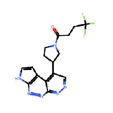 O=C(CCC(F)(F)F)N1CCC(c2cnnc3nnc4[nH]ccc4c23)C1